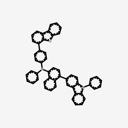 c1ccc(N(c2ccc(-c3cccc4c3oc3ccccc34)cc2)c2ccc(-c3ccc4c(c3)c3ccccc3n4-c3ccccc3)c3ccccc23)cc1